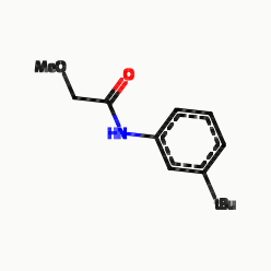 COCC(=O)Nc1cccc(C(C)(C)C)c1